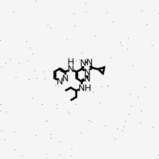 CCC(CC)Nc1cc(Nc2cccnn2)c2nnc(C3CC3)n2n1